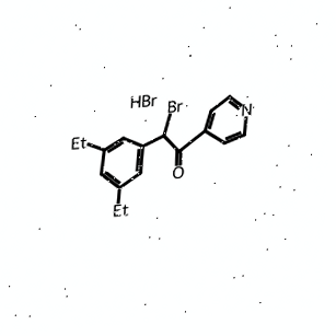 Br.CCc1cc(CC)cc(C(Br)C(=O)c2ccncc2)c1